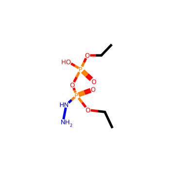 CCOP(=O)(O)OP(=O)(NN)OCC